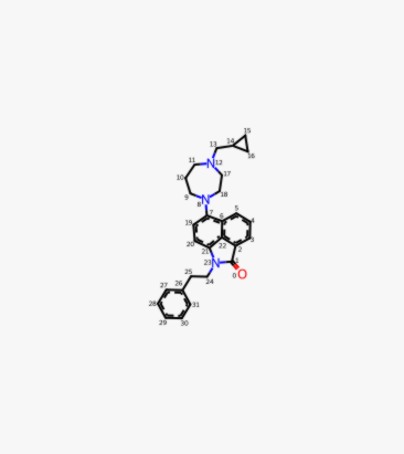 O=C1c2cccc3c(N4CCCN(CC5CC5)CC4)ccc(c23)N1CCc1ccccc1